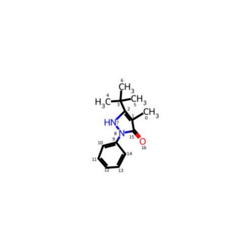 Cc1c(C(C)(C)C)[nH]n(-c2ccccc2)c1=O